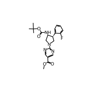 COC(=O)c1cnc(N2C[C@H](NC(=O)OC(C)(C)C)[C@@H](c3ccccc3F)C2)nc1